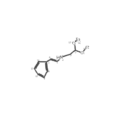 CCOC(CNC=Cc1ccccc1)OCC